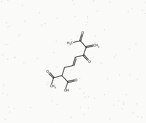 C=C(C(C)=O)C(=O)C=CCC(C(C)=O)C(=O)O